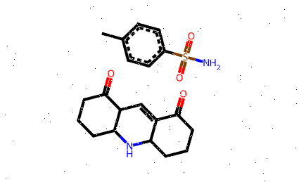 Cc1ccc(S(N)(=O)=O)cc1.O=C1CCCC2NC3CCCC(=O)C3C=C12